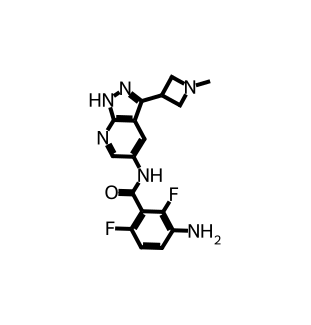 CN1CC(c2n[nH]c3ncc(NC(=O)c4c(F)ccc(N)c4F)cc23)C1